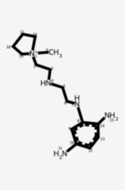 C[N+]1(CCNCCNc2cc(N)ccc2N)CCCC1